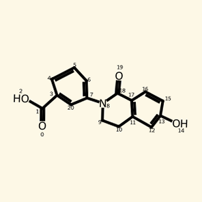 O=C(O)c1cccc(N2CCc3cc(O)ccc3C2=O)c1